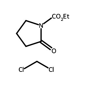 CCOC(=O)N1CCCC1=O.ClCCl